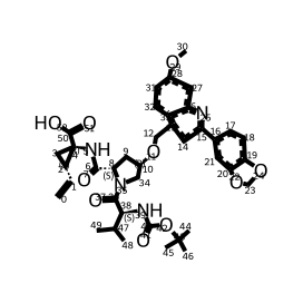 C=C[C@@H]1C[C@]1(NC(=O)[C@@H]1C[C@@H](OCc2cc(-c3ccc4c(c3)OCO4)nc3cc(OC)ccc23)CN1C(=O)[C@@H](NC(=O)OC(C)(C)C)C(C)C)C(=O)O